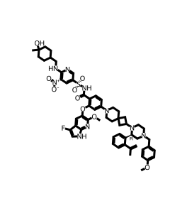 C=C(C)c1ccccc1[C@@H]1CN(Cc2ccc(OC)cc2)CCN1C1CC2(CCN(c3ccc(C(=O)NS(=O)(=O)c4cnc(NCC5CCC(C)(O)CC5)c([N+](=O)[O-])c4)c(Oc4cc5c(F)c[nH]c5nc4OC)c3)CC2)C1